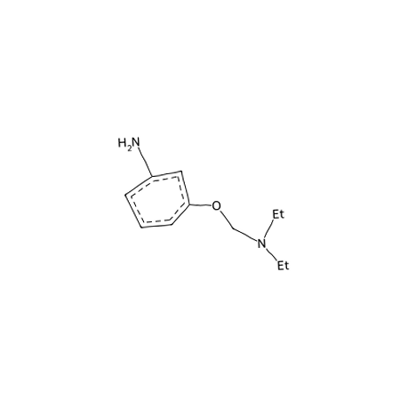 CCN(CC)COc1cccc(N)c1